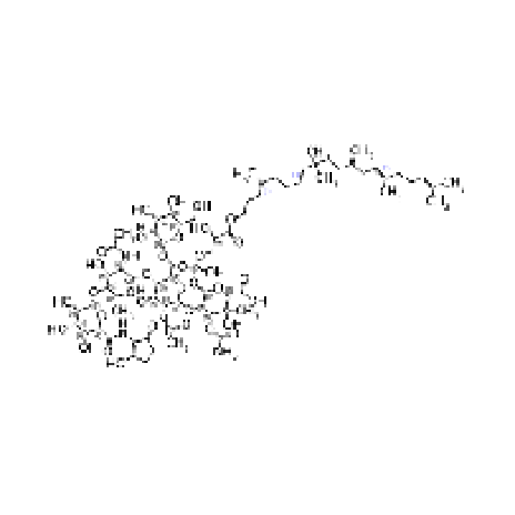 C=C(C/C=C(\C)CCC=C(C)C)CCC(C)(C)/C=C/CC/C(C)=C/CCOC(=O)[C@H](O)COP(=O)(O)O[C@H]1O[C@H](C(=O)O)[C@@](C)(O)[C@H](OC(N)=O)[C@H]1O[C@@H]1O[C@H](CO[C@@H]2O[C@H](CO)[C@@H](O)[C@H](O)[C@H]2O)[C@@H](O[C@@H]2O[C@H](C)[C@@H](O[C@@H]3O[C@H](C(=O)NC4=C(O)CCC4=O)[C@H](O)[C@H](O)[C@H]3O)[C@H](O)[C@H]2NC(C)=O)[C@H](O)[C@H]1NC(C)=O